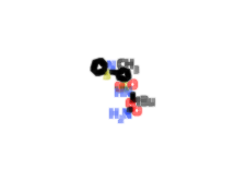 Cc1ccc(S(=O)(=O)NCC(OC(N)=O)C(C)(C)C)cc1-c1nc2ccccc2s1